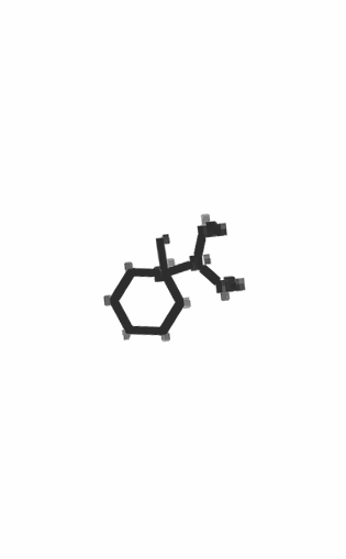 CCCCN(CCCC)[Si]1(C)CCCCC1